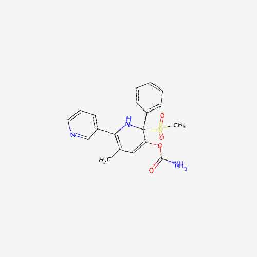 CC1=C(c2cccnc2)NC(c2ccccc2)(S(C)(=O)=O)C(OC(N)=O)=C1